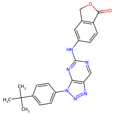 CC(C)(C)c1ccc(-n2nnc3cnc(Nc4ccc5c(c4)COC5=O)nc32)cc1